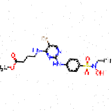 CCN(O)S(=O)(=O)c1ccc(Nc2ncc(Br)c(NCCCC(=O)OC)n2)cc1